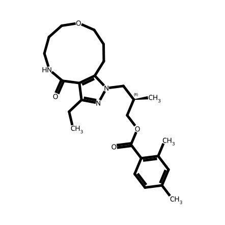 CCc1nn(C[C@@H](C)COC(=O)c2ccc(C)cc2C)c2c1C(=O)NCCCOCCC2